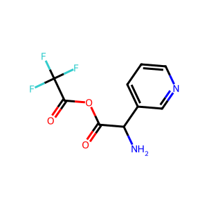 NC(C(=O)OC(=O)C(F)(F)F)c1cccnc1